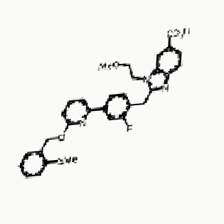 COCCn1c(Cc2ccc(-c3cccc(OCc4ccccc4SC)n3)cc2F)nc2ccc(C(=O)O)cc21